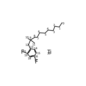 CCCCCCCCCC(C)(C)Cc1ccc(F)[c]c1F.[Ti]